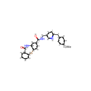 COc1ccc(Cc2ccc(CNC(=O)c3ccc4c(c3)NC(=O)c3ccccc3S4)cn2)cc1